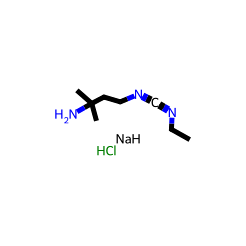 CCN=C=NCCC(C)(C)N.Cl.[NaH]